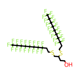 OCCC(CSCCC(F)(F)C(F)(F)C(F)(F)C(F)(F)C(F)(F)C(F)(F)C(F)(F)C(F)(F)F)SCCC(F)(F)C(F)(F)C(F)(F)C(F)(F)C(F)(F)C(F)(F)C(F)(F)C(F)(F)F